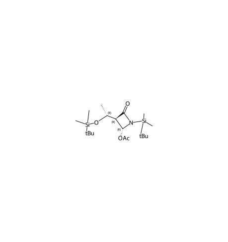 CC(=O)O[C@@H]1[C@@H]([C@@H](C)O[Si](C)(C)C(C)(C)C)C(=O)N1[Si](C)(C)C(C)(C)C